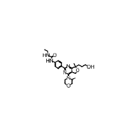 CCNC(=O)Nc1ccc(-c2nc(N3CCOCC3C)c3c(n2)C(C)(CCCO)OC3)cc1